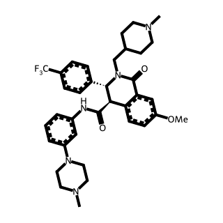 COc1ccc2c(c1)C(=O)N(CC1CCN(C)CC1)[C@@H](c1ccc(C(F)(F)F)cc1)[C@@H]2C(=O)Nc1cccc(N2CCN(C)CC2)c1